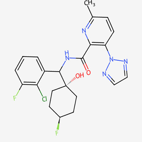 Cc1ccc(-n2nccn2)c(C(=O)NC(c2cccc(F)c2Cl)[C@]2(O)CC[C@H](F)CC2)n1